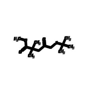 COC(=O)C(C)(C)CC(=O)CSC(C)(C)C